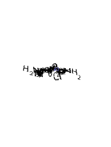 Nc1cc(Cl)cc(/C=C/C(=O)N2CCN(COCCc3ccc4c(N)ncnc4c3)C(=O)C2)c1